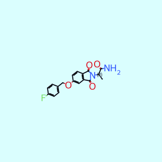 C[C@H](C(N)=O)N1C(=O)c2ccc(OCc3ccc(F)cc3)cc2C1=O